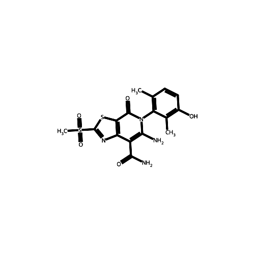 Cc1ccc(O)c(C)c1-n1c(N)c(C(N)=O)c2nc(S(C)(=O)=O)sc2c1=O